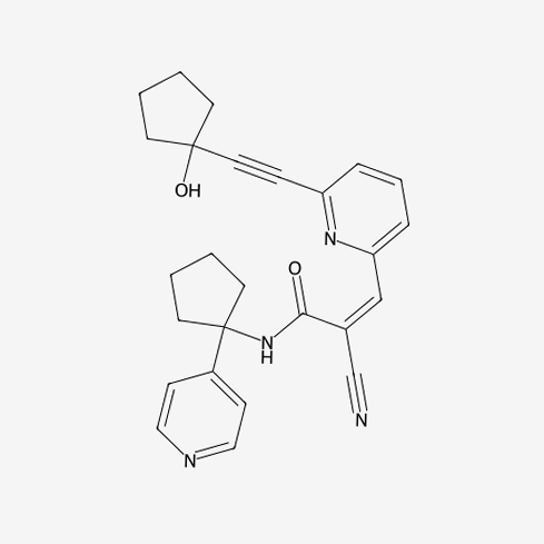 N#CC(=Cc1cccc(C#CC2(O)CCCC2)n1)C(=O)NC1(c2ccncc2)CCCC1